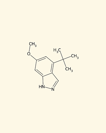 COc1cc(C(C)(C)C)c2cn[nH]c2c1